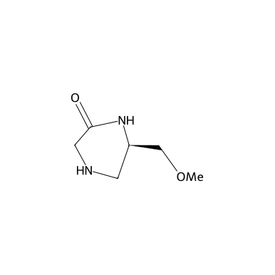 COC[C@H]1CNCC(=O)N1